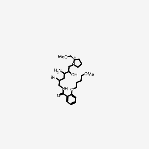 COCCCCOc1ccccc1C(=O)NCC(CC(N)C(O)CN1CCC[C@@H]1COC)C(C)C